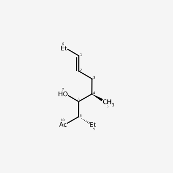 CCC=CC[C@@H](C)C(O)[C@H](CC)C(C)=O